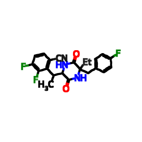 CCC1(Cc2ccc(F)cc2)NC(=O)C(C(C)c2c(C#N)ccc(F)c2F)NC1=O